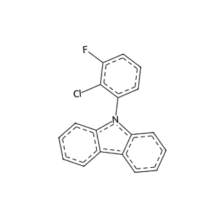 Fc1cccc(-n2c3ccccc3c3ccccc32)c1Cl